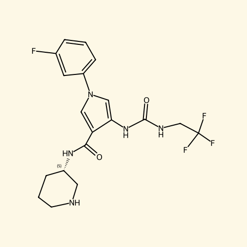 O=C(NCC(F)(F)F)Nc1cn(-c2cccc(F)c2)cc1C(=O)N[C@H]1CCCNC1